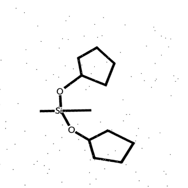 C[Si](C)(OC1CCCC1)OC1CCCC1